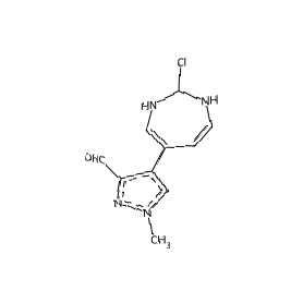 Cn1cc(C2=CNC(Cl)NC=C2)c(C=O)n1